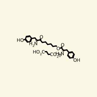 N[C@@H](Cc1ccc(O)cc1)C(=O)CCCCCCOC(=O)[C@@H](N)Cc1ccc(O)cc1.O=C(O)CCC(=O)O